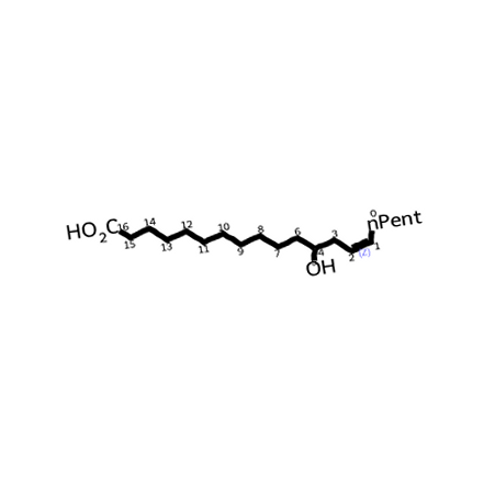 CCCCC/C=C\CC(O)CCCCCCCCCCC(=O)O